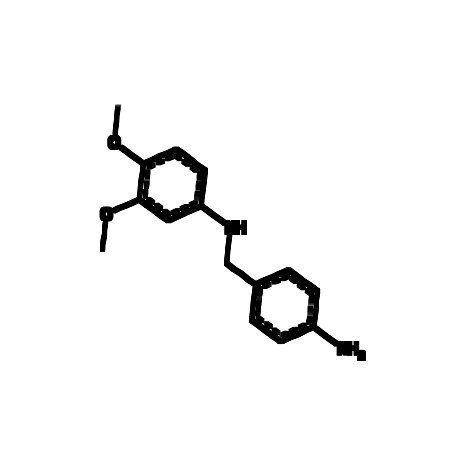 COc1ccc(NCc2ccc(N)cc2)cc1OC